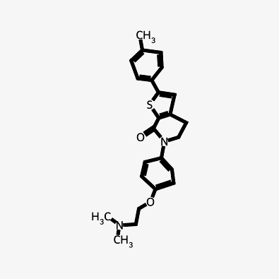 Cc1ccc(-c2cc3c(s2)C(=O)N(c2ccc(OCCN(C)C)cc2)CC3)cc1